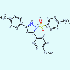 COc1ccc(C2CC(c3ccc(C)cc3)=NN2S(=O)(=O)c2ccc([N+](=O)[O-])cc2)cc1